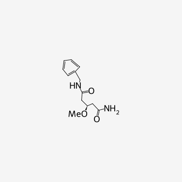 CO[C@H](CC(N)=O)CC(=O)NCc1ccccc1